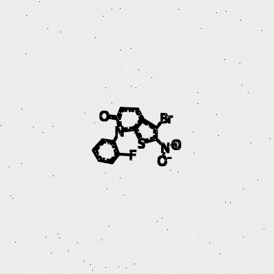 O=c1ccc2c(Br)c([N+](=O)[O-])sc2n1-c1ccccc1F